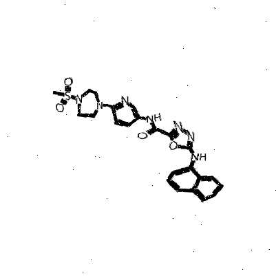 CS(=O)(=O)N1CCN(c2ccc(NC(=O)c3nnc(Nc4cccc5ccccc45)o3)cn2)CC1